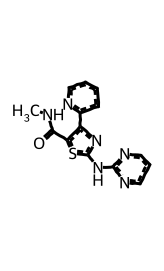 CNC(=O)c1sc(Nc2ncccn2)nc1-c1ccccn1